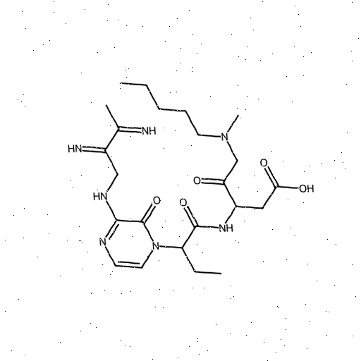 CCCCCN(C)CC(=O)C(CC(=O)O)NC(=O)C(CC)n1ccnc(NCC(=N)C(C)=N)c1=O